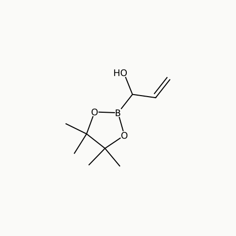 C=CC(O)B1OC(C)(C)C(C)(C)O1